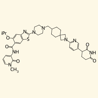 CC(C)Oc1cc2nc(N3CCN(CC4CCC5(CC4)CN(c4ccc(C6CCC(=O)NC6=O)cn4)C5)CC3)sc2cc1C(=O)Nc1cccn(C)c1=O